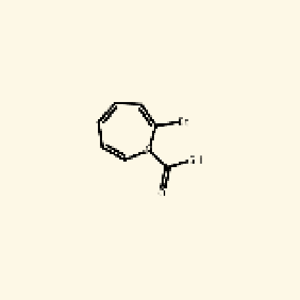 CCC1=CC=CC=CN1C(=O)S